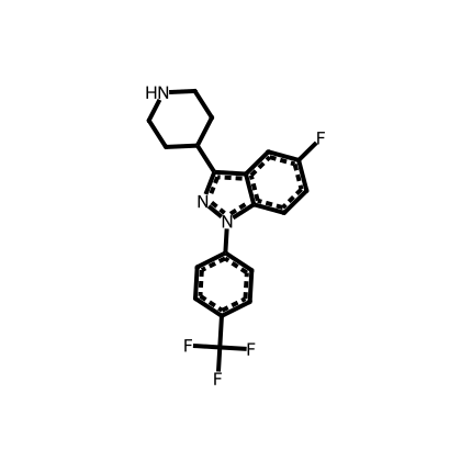 Fc1ccc2c(c1)c(C1CCNCC1)nn2-c1ccc(C(F)(F)F)cc1